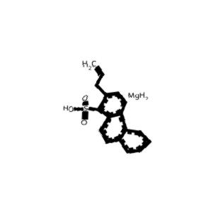 C=CCc1ccc2c(ccc3ccccc32)c1S(=O)(=O)O.[MgH2]